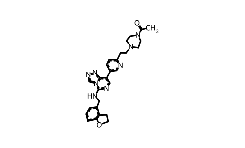 CC(=O)N1CCN(CCc2ccc(-c3cnc(NCc4cccc5c4CCO5)n4cnnc34)cn2)CC1